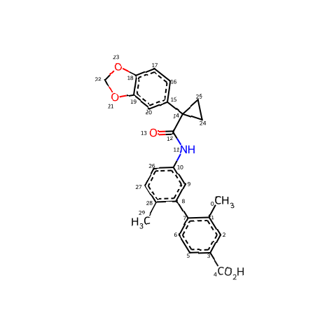 Cc1cc(C(=O)O)ccc1-c1cc(NC(=O)C2(c3ccc4c(c3)OCO4)CC2)ccc1C